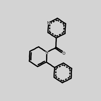 O=C(c1cccnc1)N1CC=CC=C1c1ccccc1